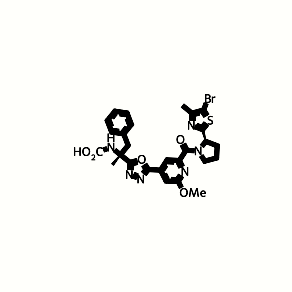 COc1cc(-c2nnc([C@@](C)(Cc3ccccc3)NC(=O)O)o2)cc(C(=O)N2CCC[C@@H]2c2nc(C)c(Br)s2)n1